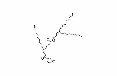 CCCCCCCCCCC(CCCC(=O)OCCCC(CCCCCCCCC)CCCCCCCCC)CCC(=O)C1CCN(C)C1